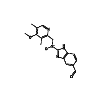 COc1c(C)cnc(C[S+]([O-])c2nc3cc(C=O)ccc3[nH]2)c1C